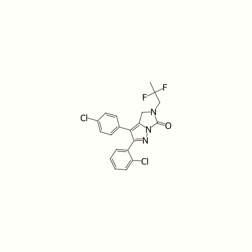 CC(F)(F)CN1Cc2c(-c3ccc(Cl)cc3)c(-c3ccccc3Cl)nn2C1=O